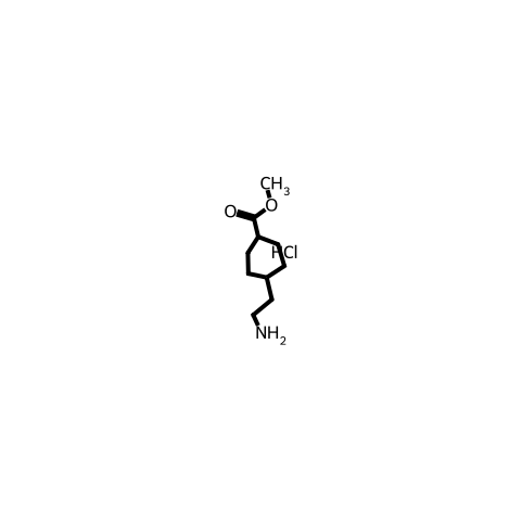 COC(=O)C1CCC(CCN)CC1.Cl